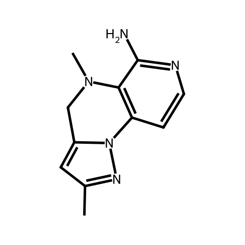 Cc1cc2n(n1)-c1ccnc(N)c1N(C)C2